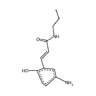 CCCNC(=O)C=Cc1cc(N)ccc1O